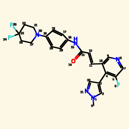 Cn1cc(-c2c(F)cncc2C=CC(=O)Nc2ccc(N3CCC(F)(F)CC3)cc2)cn1